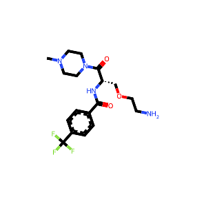 CN1CCN(C(=O)[C@H](COCCN)NC(=O)c2ccc(C(F)(F)F)cc2)CC1